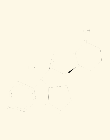 CN1CCC[C@@H](OC(=O)[C@](C)(c2ccccc2)C2CCCC2)C1